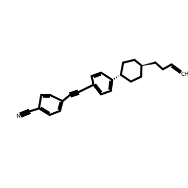 C=CCC[C@H]1CC[C@H](c2ccc(C#Cc3ccc(C#N)cc3)cc2)CC1